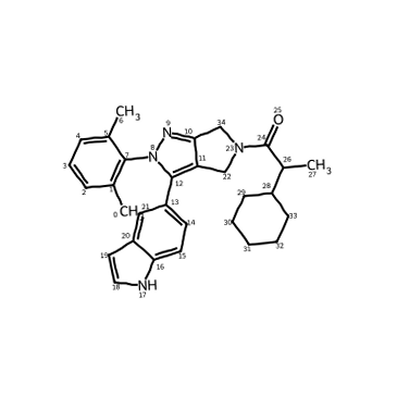 Cc1cccc(C)c1-n1nc2c(c1-c1ccc3[nH]ccc3c1)CN(C(=O)C(C)C1CCCCC1)C2